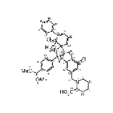 COC(OC)c1ccc(C(=O)NC2(c3nc4cc(CN5CCCCC5C(=O)O)cc(Cl)c4o3)C=CC=C(c3ccccc3)C2(C)Cl)nc1